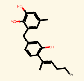 CC(=CCCC(C)C)c1ccc(Cc2cc(C)cc(O)c2O)cc1O